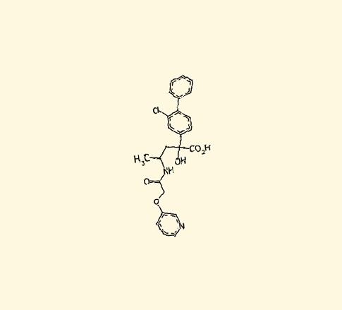 CC(CC(O)(C(=O)O)c1ccc(-c2ccccc2)c(Cl)c1)NC(=O)COc1cccnc1